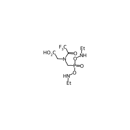 CCNOP(=O)(CN(CC(=O)O)C(=O)C(F)(F)F)ONCC